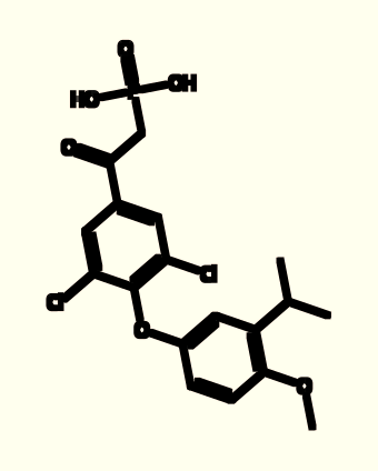 COc1ccc(Oc2c(Cl)cc(C(=O)CP(=O)(O)O)cc2Cl)cc1C(C)C